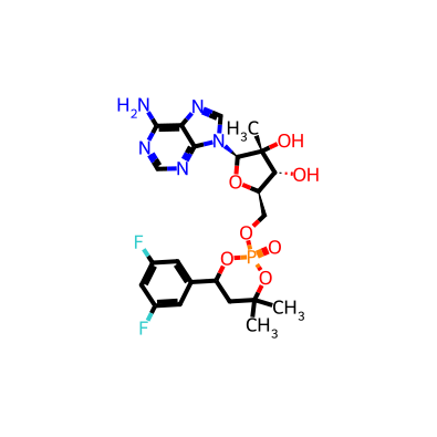 CC1(C)CC(c2cc(F)cc(F)c2)OP(=O)(OC[C@H]2O[C@@H](n3cnc4c(N)ncnc43)[C@](C)(O)[C@@H]2O)O1